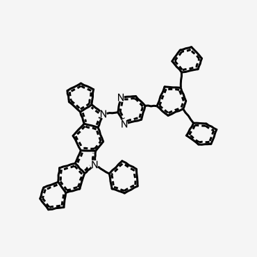 c1ccc(-c2cc(-c3ccccc3)cc(-c3cnc(-n4c5ccccc5c5cc6c7cc8ccccc8cc7n(-c7ccccc7)c6cc54)nc3)c2)cc1